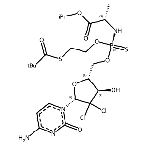 CC(C)OC(=O)[C@H](C)N[P@](=S)(OCCSC(=O)C(C)(C)C)OC[C@H]1O[C@@H](n2ccc(N)nc2=O)C(Cl)(Cl)[C@@H]1O